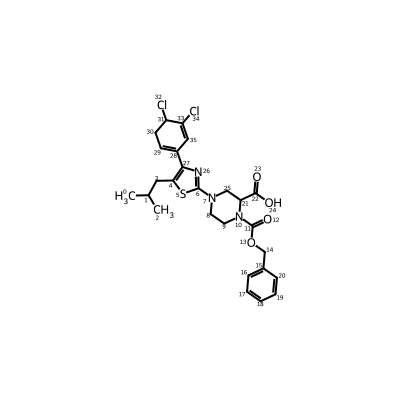 CC(C)Cc1sc(N2CCN(C(=O)OCc3ccccc3)C(C(=O)O)C2)nc1C1=CCC(Cl)C(Cl)=C1